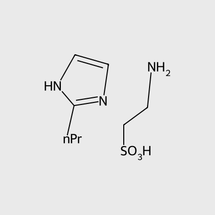 CCCc1ncc[nH]1.NCCS(=O)(=O)O